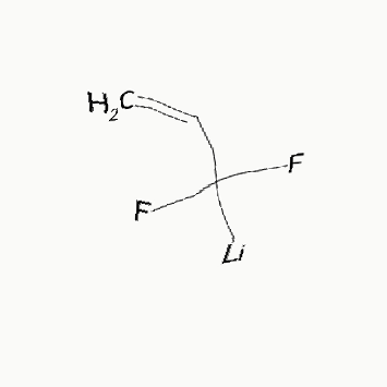 [Li][C](F)(F)C=C